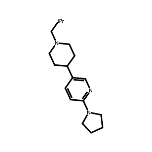 C[C](C)CN1CCC(c2ccc(N3CCCC3)nc2)CC1